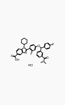 CN(C)C(=O)c1cccc(C(Oc2ccc(-c3nc4cc(C(=O)O)ccc4n3C3CCCCC3)c(F)c2)c2ccc(F)cc2)c1.Cl